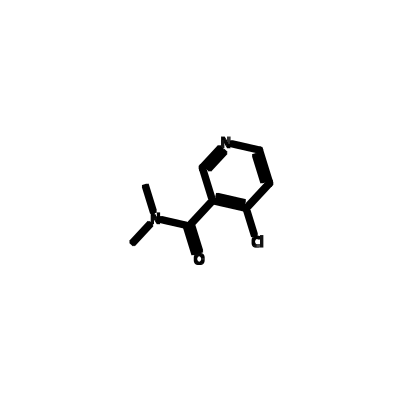 CN(C)C(=O)c1cnccc1Cl